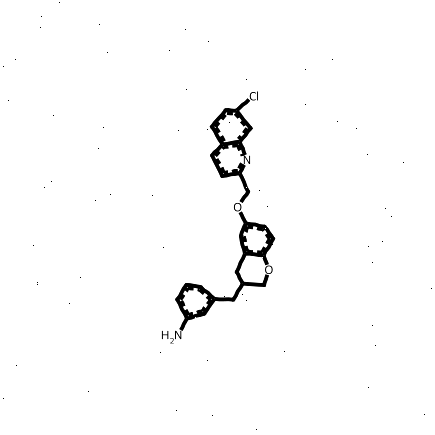 Nc1cccc(CC2COc3ccc(OCc4ccc5ccc(Cl)cc5n4)cc3C2)c1